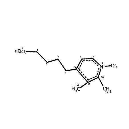 CCCCCCCCCCCCc1cc[n+]([O-])c(C)c1C